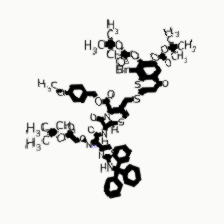 COc1ccc(COC(=O)C2=C(CSc3cc(=O)c4cc(OC(=O)OC(C)(C)C)c(OC(=O)OC(C)(C)C)c(Br)c4s3)CS[C@H]3C(NC(=O)/C(=N\OCC(=O)OC(C)(C)C)c4csc(NC(c5ccccc5)(c5ccccc5)c5ccccc5)n4)C(=O)N23)cc1